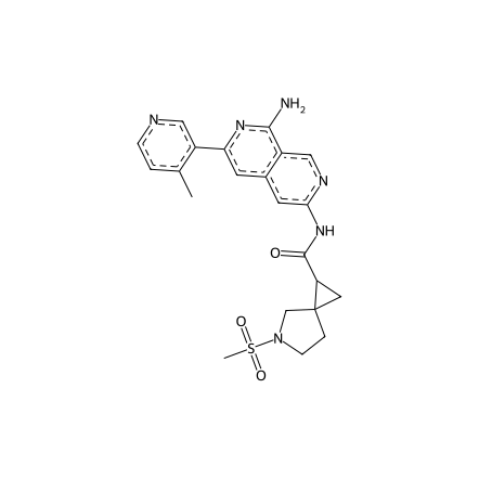 Cc1ccncc1-c1cc2cc(NC(=O)C3CC34CCN(S(C)(=O)=O)C4)ncc2c(N)n1